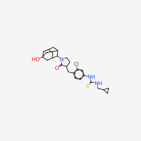 O=C1C(Cc2ccc(NC(=S)NCC3CC3)cc2Cl)CCN1C1C2CC3CC1CC(O)(C3)C2